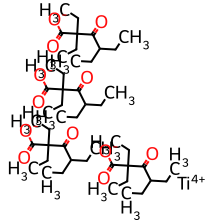 CCC(CC)C(=O)C(CC)(CC)C(=O)[O-].CCC(CC)C(=O)C(CC)(CC)C(=O)[O-].CCC(CC)C(=O)C(CC)(CC)C(=O)[O-].CCC(CC)C(=O)C(CC)(CC)C(=O)[O-].[Ti+4]